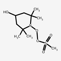 CC1(C)CC(O)CC(C)(C)N1OOS(C)(=O)=O